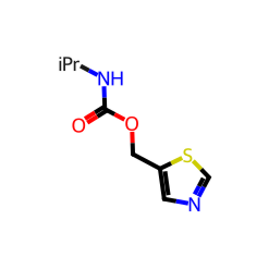 [CH2]C(C)NC(=O)OCc1cncs1